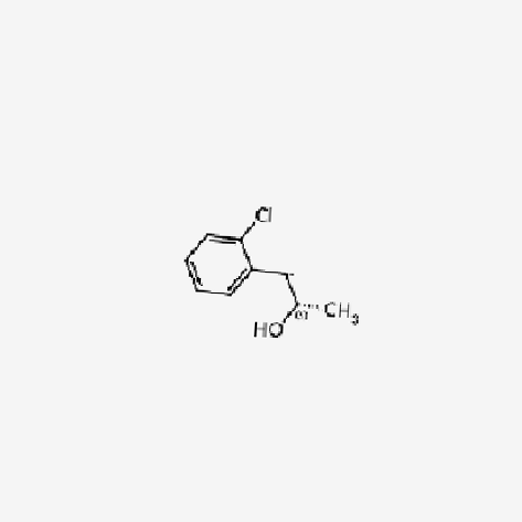 C[C@H](O)[CH]c1ccccc1Cl